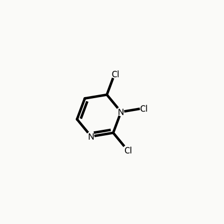 ClC1=NC=CC(Cl)N1Cl